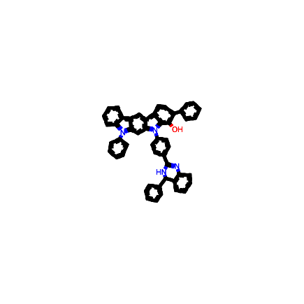 Oc1c(-c2ccccc2)ccc2c3cc4c5ccccc5n(-c5ccccc5)c4cc3n(-c3ccc(C4=Nc5ccccc5C(c5ccccc5)N4)cc3)c12